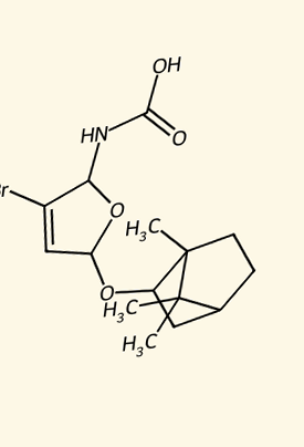 CC1(C)C2CCC1(C)C(OC1C=C(Br)C(NC(=O)O)O1)C2